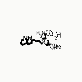 CO[C@H](C)CN(CCCCc1ccc2c(n1)NCCC2)CC[C@@H](N)C(=O)O